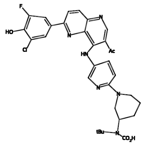 CC(=O)c1cnc2ccc(-c3cc(F)c(O)c(Cl)c3)nc2c1Nc1ccc(N2CCCC(N(C(=O)O)C(C)(C)C)C2)nc1